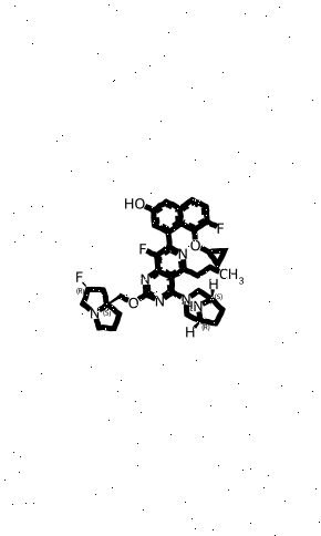 CCCc1nc(-c2cc(O)cc3ccc(F)c(OC4CC4)c23)c(F)c2nc(OC[C@@]34CCCN3C[C@H](F)C4)nc(N3C[C@H]4CC[C@@H](C3)N4)c12